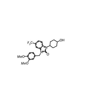 COc1ccc(Cn2c(=O)n(C3CCC(O)CC3)c3ccc(C(F)(F)F)cc32)cc1OC